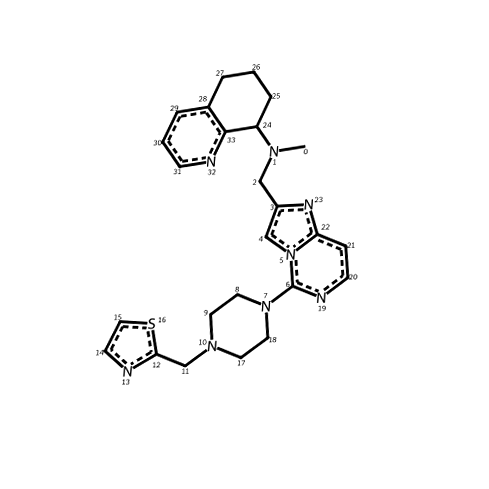 CN(Cc1cn2c(N3CCN(Cc4nccs4)CC3)nccc2n1)C1CCCc2cccnc21